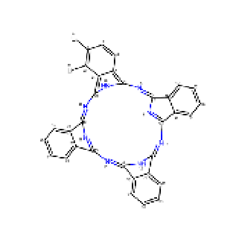 [Li][c]1ccc2c3nc4nc(nc5[nH]c(nc6nc(nc([nH]3)c2[c]1[Li])-c1ccccc1-6)c1ccccc51)-c1ccccc1-4